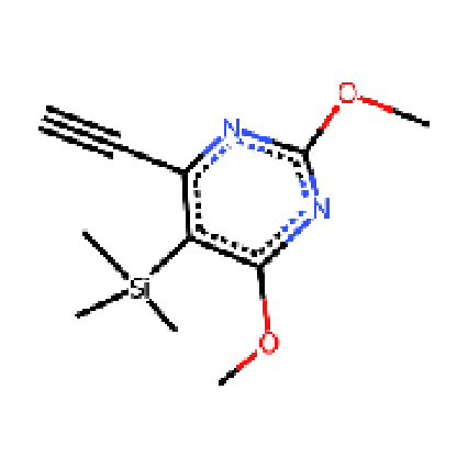 C#Cc1nc(OC)nc(OC)c1[Si](C)(C)C